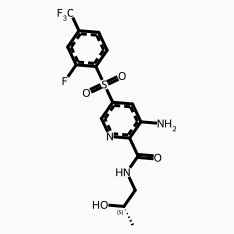 C[C@H](O)CNC(=O)c1ncc(S(=O)(=O)c2ccc(C(F)(F)F)cc2F)cc1N